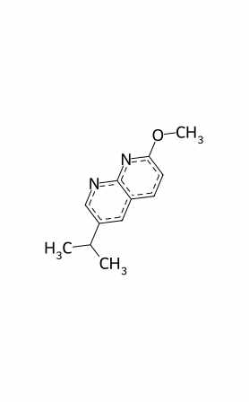 COc1ccc2cc(C(C)C)cnc2n1